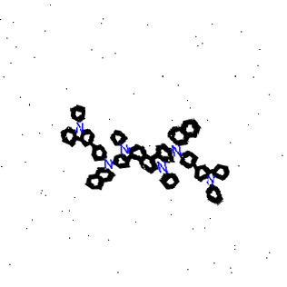 c1ccc(-n2c3ccccc3c3cc(-c4ccc(N(c5ccc6ccccc6c5)c5ccc6c7c8ccc9c(c8ccc7n(-c7ccccc7)c6c5)c5ccc(N(c6ccc(-c7ccc8c(c7)c7ccccc7n8-c7ccccc7)cc6)c6ccc7ccccc7c6)cc5n9-c5ccccc5)cc4)ccc32)cc1